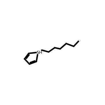 [CH2]CCCCCC[SH]1C=CC=C1